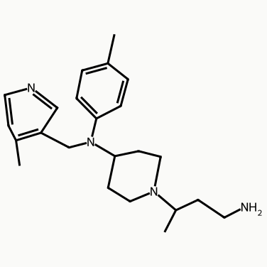 Cc1ccc(N(Cc2cnccc2C)C2CCN(C(C)CCN)CC2)cc1